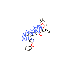 C=CC(=O)NC(C)C(=O)N[C@@H]1CCc2c(-c3ccc(Oc4ccccc4)cc3)c3c(N)ncnc3n2C1